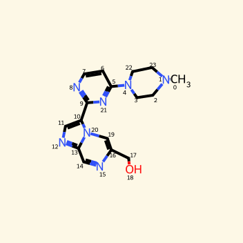 CN1CCN(c2ccnc(-c3cnc4cnc(CO)cn34)n2)CC1